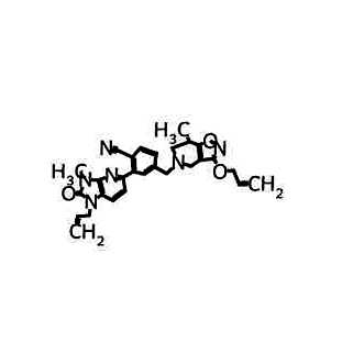 C=CCOc1noc2c1CN(Cc1ccc(C#N)c(-c3ccc4c(n3)n(C)c(=O)n4CC=C)c1)CC2C